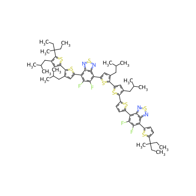 CCC(C)(CC)c1ccc(-c2c(F)c(F)c(-c3ccc(-c4sc(-c5sc(-c6c(F)c(F)c(-c7cc(CC(C)C)c(-c8cc(CC(C)C)c(C(C)(CC)CC)s8)s7)c7nsnc67)cc5CC(C)C)cc4CC(C)C)s3)c3nsnc23)s1